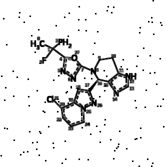 CC(F)(P)c1nnc(N2CCc3[nH]cnc3[C@H]2c2cc3c(Cl)cccn3n2)o1